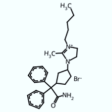 CCCCC[N+]1=C(C)N(C2CCC(C(C(N)=O)(c3ccccc3)c3ccccc3)C2)CC1.[Br-]